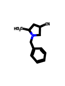 N#CC1CC(C(=O)O)N(Cc2ccccc2)C1